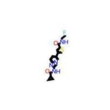 O=C(NCCF)c1cc(-c2ccc3nc(NC(=O)C4CC4)cn3c2)cs1